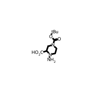 CC(C)(C)OC(=O)N1CCN(N)C(C(=O)O)C1